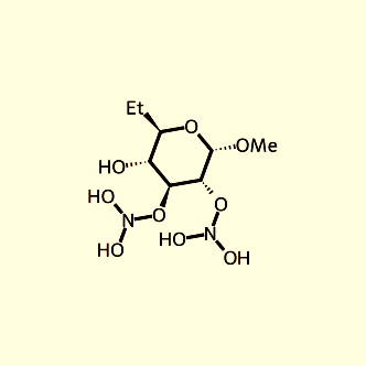 CC[C@H]1O[C@H](OC)[C@H](ON(O)O)[C@@H](ON(O)O)[C@@H]1O